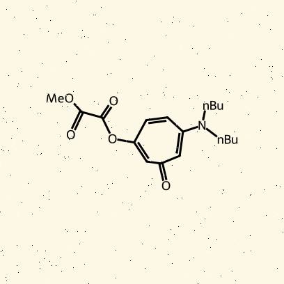 CCCCN(CCCC)c1ccc(OC(=O)C(=O)OC)cc(=O)c1